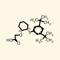 CC(C)(C)c1cc(S[C@H]2CCCC[C@H]2OCC(=O)O)cc(C(C)(C)C)c1